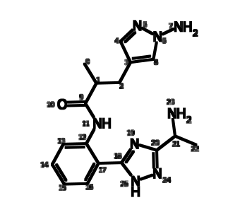 CC(Cc1cnn(N)c1)C(=O)Nc1ccccc1-c1nc(C(C)N)n[nH]1